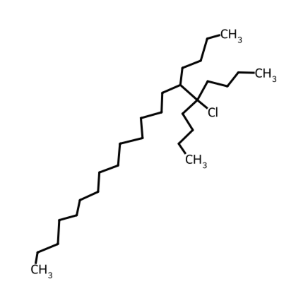 CCCCCCCCCCCCCCC(CCCC)C(Cl)(CCCC)CCCC